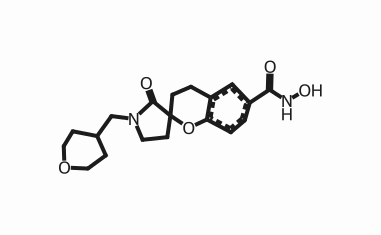 O=C(NO)c1ccc2c(c1)CCC1(CCN(CC3CCOCC3)C1=O)O2